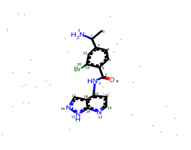 CC(N)c1ccc(C(=O)Nc2ccnc3[nH]ncc23)c(Br)c1